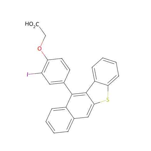 O=C(O)COc1ccc(-c2c3ccccc3cc3sc4ccccc4c23)cc1I